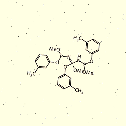 COP(N=P(NP(OC)Oc1cccc(C)c1)(OC)Oc1cccc(C)c1)Oc1cccc(C)c1